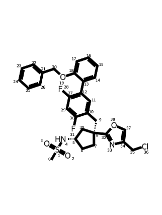 CS(=O)(=O)N[C@H]1CC[C@](Cc2cc(-c3ccccc3OCc3ccccc3)c(F)cc2F)(c2nc(CCl)co2)C1